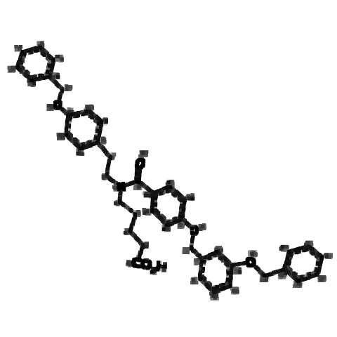 O=C(O)CCCCN(CCc1ccc(OCc2ccccc2)cc1)C(=O)c1ccc(OCc2cccc(OCc3ccccc3)c2)cc1